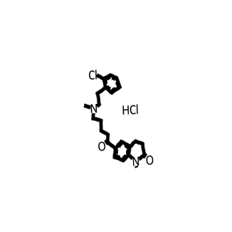 CN(CCCCC(=O)c1ccc2c(c1)CCC(=O)N2C)CCc1ccccc1Cl.Cl